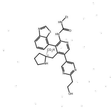 CCNC(=O)Nc1ncc(-c2cnc(CCO)nc2)c(C[C@]2(C(=O)O)CCCN2)c1-c1cccc2ncsc12